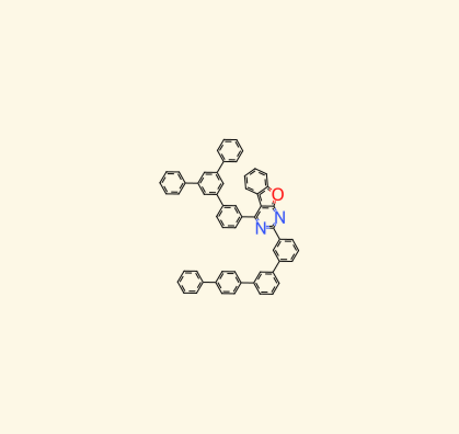 c1ccc(-c2ccc(-c3cccc(-c4cccc(-c5nc(-c6cccc(-c7cc(-c8ccccc8)cc(-c8ccccc8)c7)c6)c6c(n5)oc5ccccc56)c4)c3)cc2)cc1